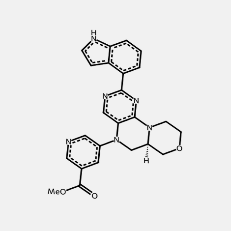 COC(=O)c1cncc(N2C[C@@H]3COCCN3c3nc(-c4cccc5[nH]ccc45)ncc32)c1